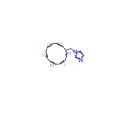 C1=C\C=C/C=C\C(Cn2ccnc2)=C/C=C\C=C/1